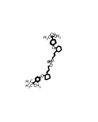 CC(C)(C)c1ccc(OC2CCCCC2C=CCOS(=O)OCC=CC2CCCCC2Oc2ccc(C(C)(C)C)cc2)cc1